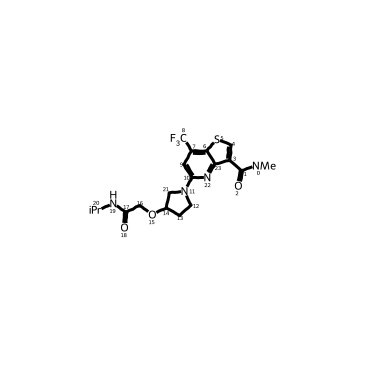 CNC(=O)c1csc2c(C(F)(F)F)cc(N3CCC(OCC(=O)NC(C)C)C3)nc12